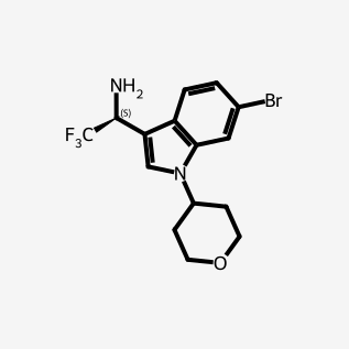 N[C@@H](c1cn(C2CCOCC2)c2cc(Br)ccc12)C(F)(F)F